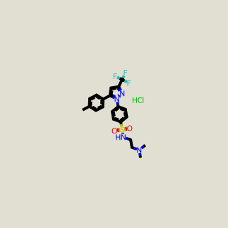 Cc1ccc(-c2cc(C(F)(F)F)nn2-c2ccc(S(=O)(=O)NCCN(C)C)cc2)cc1.Cl